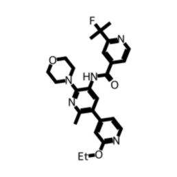 CCOc1cc(-c2cc(NC(=O)c3ccnc(C(C)(C)F)c3)c(N3CCOCC3)nc2C)ccn1